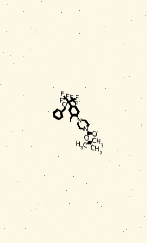 CC(C)(C)OC(=O)N1CCN(c2ccc(C(OCc3ccccc3)(C(F)(F)F)C(F)(F)F)cc2I)CC1